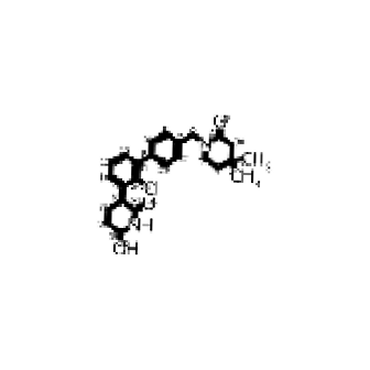 CC1(C)CCN(Cc2ccc(-c3cccc(C4CCC(O)NC4=O)c3Cl)cc2)C(=O)C1